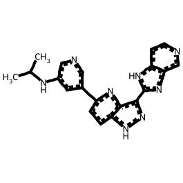 CC(C)Nc1cncc(-c2ccc3[nH]nc(-c4nc5cnccc5[nH]4)c3n2)c1